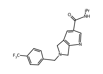 CC(C)NC(=O)c1cnc2c(c1)CN(Cc1ccc(C(F)(F)F)cc1)C2